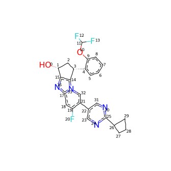 O[C@@H]1C[C@H](c2ccccc2OC(F)F)c2c1nc1cc(F)c(-c3cnc(C4CCC4)nc3)cn21